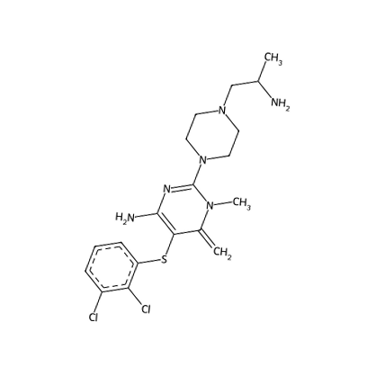 C=C1C(Sc2cccc(Cl)c2Cl)=C(N)N=C(N2CCN(CC(C)N)CC2)N1C